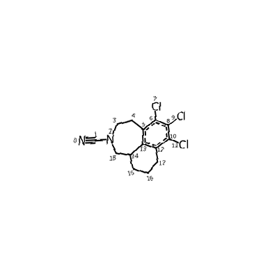 N#CN1CCc2c(Cl)c(Cl)c(Cl)c3c2C(CCC3)C1